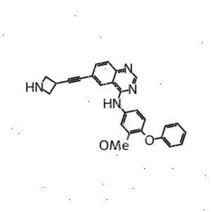 COc1cc(Nc2ncnc3ccc(C#CC4CNC4)cc23)ccc1Oc1ccccc1